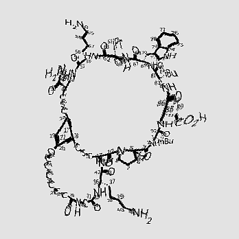 CCCC[C@@H]1NC(=O)[C@@H]2CCCN2C(=O)[C@@H]2CSCc3cc(cc(c3)OCCCCCCC(=O)NCC(=O)N[C@@H](CCCCN)C(=O)N2)CSC[C@@H](C(N)=O)NC(=O)[C@H](CCCCN)NC(=O)[C@H](C(C)C)NC(=O)[C@H](Cc2c[nH]c3ccccc23)NC(=O)[C@H]([C@@H](C)CC)NC(=O)[C@H](CC(=O)O)NC1=O